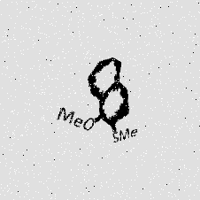 COc1c(SC)ccc2ccccc12